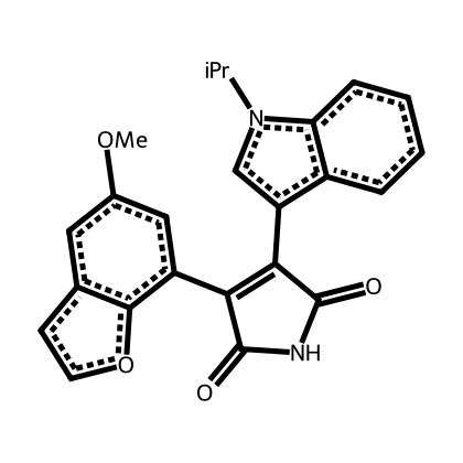 COc1cc(C2=C(c3cn(C(C)C)c4ccccc34)C(=O)NC2=O)c2occc2c1